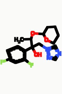 CC(OC1CCCCO1)C(O)(Cn1cncn1)c1ccc(F)cc1F